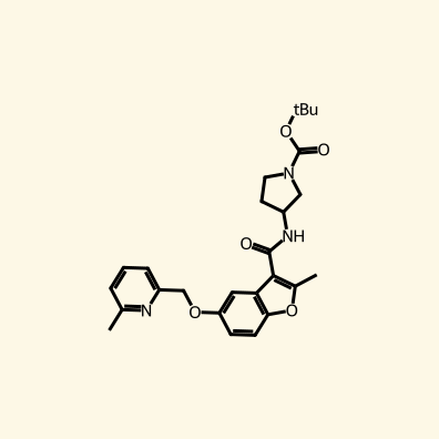 Cc1cccc(COc2ccc3oc(C)c(C(=O)NC4CCN(C(=O)OC(C)(C)C)C4)c3c2)n1